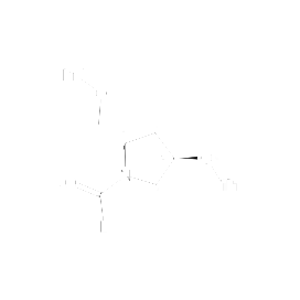 CCC(=O)N1C[C@H](OC(C)C)C[C@H]1COC(C)C